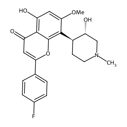 COc1cc(O)c2c(=O)cc(-c3ccc(F)cc3)oc2c1[C@@H]1CCN(C)C[C@H]1O